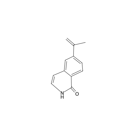 C=C(C)c1ccc2c(=O)[nH]ccc2c1